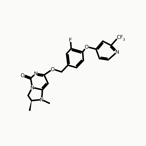 C[C@H]1Cn2c(cc(OCc3ccc(Oc4ccnc(C(F)(F)F)c4)c(F)c3)nc2=O)N1C